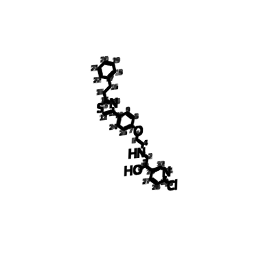 O[C@@H](CNCCOc1ccc(-c2csc(CCc3ccccc3)n2)cc1)c1ccc(Cl)nc1